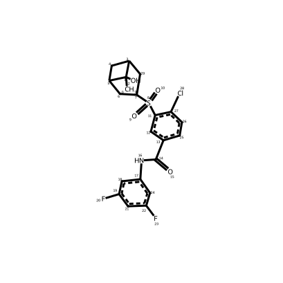 CC1(O)C2CC1CC(S(=O)(=O)c1cc(C(=O)Nc3cc(F)cc(F)c3)ccc1Cl)C2